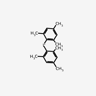 Cc1cc(C)c([I+]c2c(C)cc(C)cc2C)c(C)c1